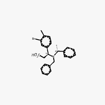 Cc1ccc([C@H](CC(=O)O)N(Cc2ccccc2)[C@H](C)c2ccccc2)cc1Br